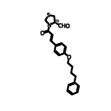 O=C[C@@H]1CSCN1C(=O)C=Cc1ccc(OCCCCc2ccccc2)cc1